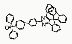 O=P(c1ccccc1)(c1ccccc1)c1ccc(-c2ccc(-c3nc(-c4ccccc4)c4c(n3)-c3ccccc3C43c4ccccc4-c4ccccc43)cc2)cc1